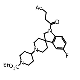 CCOC(=O)N1CCC(N2CCC3(CC2)CN(C(=O)CCC(C)=O)c2ccc(F)cc23)CC1